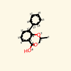 CC(C)Oc1c(C(=O)O)cccc1-c1ccccc1